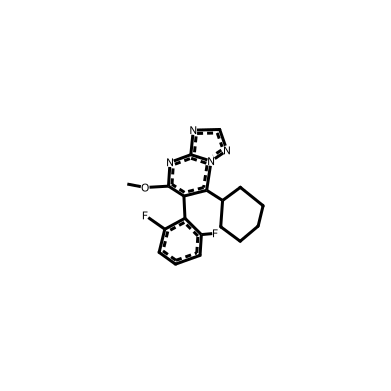 COc1nc2ncnn2c(C2CCCCC2)c1-c1c(F)cccc1F